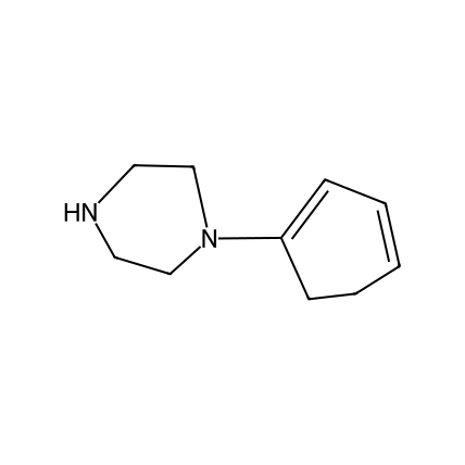 C1=CCCC(N2CCNCC2)=C1